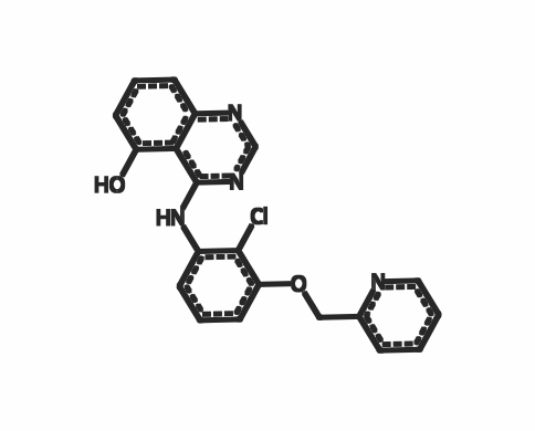 Oc1cccc2ncnc(Nc3cccc(OCc4ccccn4)c3Cl)c12